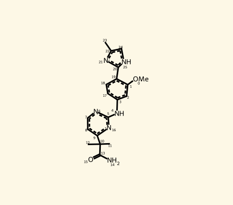 COc1cc(Nc2nccc(C(C)(C)C(N)=O)n2)ccc1-c1nc(C)c[nH]1